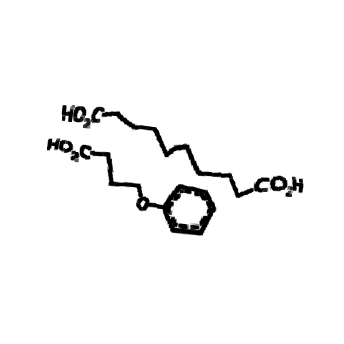 O=C(O)CCCCCCCCC(=O)O.O=C(O)CCCOc1ccccc1